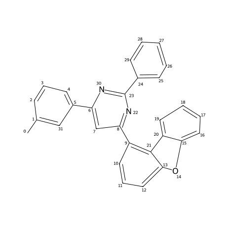 Cc1cccc(-c2cc(-c3cccc4oc5ccccc5c34)nc(-c3ccccc3)n2)c1